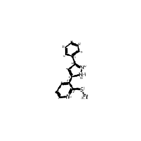 CCSc1ncccc1-c1cc(-c2ccccc2)n[nH]1